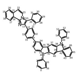 c1ccc(B2c3ccc(-c4ccc(-c5nc6c7ccccc7ccn6c5-c5ccccc5)cc4)cc3-c3cc4c(cc32)c2ccccc2n4-c2ccccc2)cc1